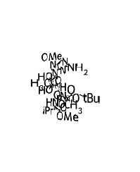 COC(=O)[C@@H](NP(=O)(N[C@@H](C)C(=O)OCC(C)(C)C)OC[C@H]1O[C@@H](n2cnc3c(OC)nc(N)nc32)[C@](C)(O)[C@@H]1O)C(C)C